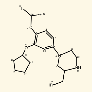 CC(C)CC1CN(c2ccc(OC(F)F)c(OC3CCCC3)c2)CCN1